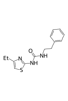 CCc1csc(NC(=O)NCCc2ccccc2)n1